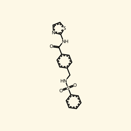 O=C(Nc1nccs1)c1ccc(CNS(=O)(=O)c2ccccc2)cc1